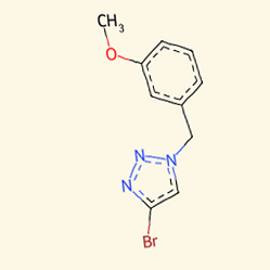 COc1cccc(Cn2cc(Br)nn2)c1